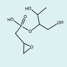 CC(O)C(CO)OP(=O)(O)CC1CO1